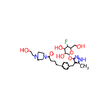 Cc1[nH]nc(OC2OC(CO)C(F)C(O)C2O)c1Cc1ccc(CCCC(=O)N2CCN(CCO)CC2)cc1